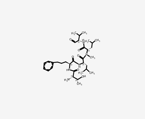 CC(C)C[C@H](NC(=O)[C@H](CCCc1ccccc1)NC(=O)[C@@H](N)[C@@H](C)O)C(=O)N(C)[C@@H](CC(C)C)C(=O)N[C@H](C=O)C(C)C